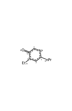 CCCc1cn(CC)c(=O)cn1